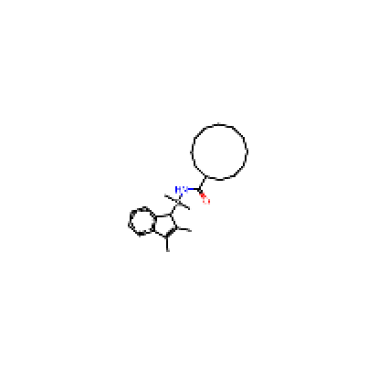 CC1=C(C)C([Si](C)(C)NC(=O)C2CCCCCCCCCCC2)c2ccccc21